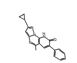 Cc1nc2cc(C3CC3)nn2c2[nH]c(=O)c(-c3ccccc3)cc12